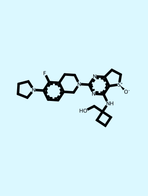 [O-][S@+]1CCc2nc(N3CCc4c(ccc(N5CCCC5)c4F)C3)nc(NC3(CO)CCC3)c21